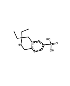 CCC1(CC)Cc2nc(P(=O)(O)O)ccc2CN1